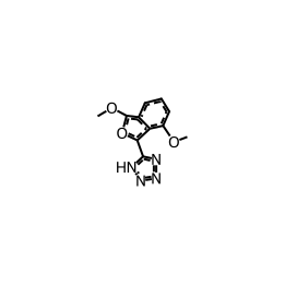 COc1oc(-c2nnn[nH]2)c2c(OC)cccc12